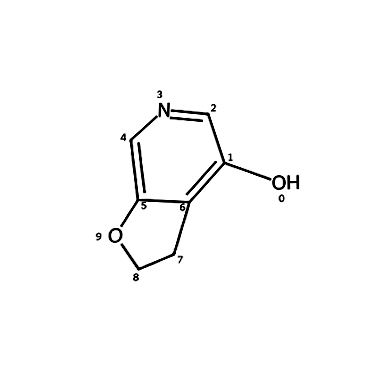 Oc1cncc2c1CCO2